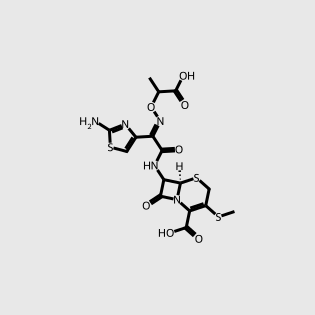 CSC1=C(C(=O)O)N2C(=O)C(NC(=O)/C(=N/OC(C)C(=O)O)c3csc(N)n3)[C@H]2SC1